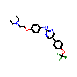 CCN(CC)CCOc1ccc(Nc2ncc(-c3ccc(OC(F)(F)F)cc3)cn2)cc1